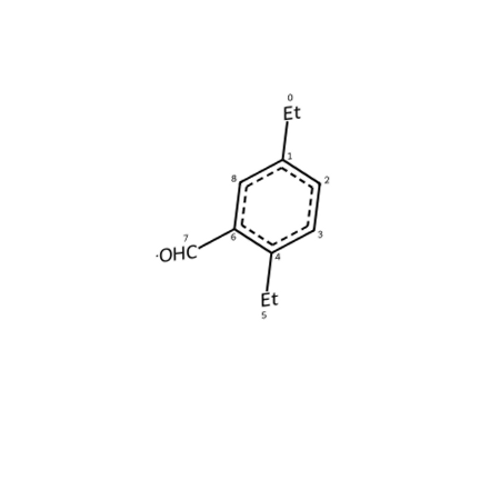 CCc1ccc(CC)c([C]=O)c1